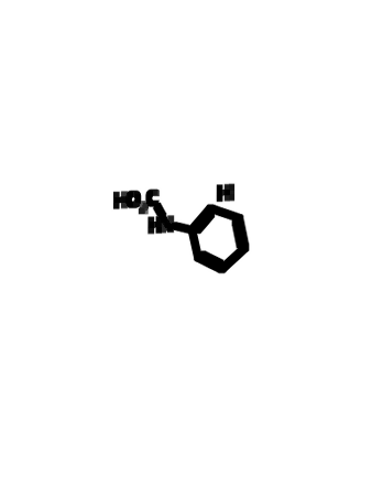 I.O=C(O)Nc1ccccc1